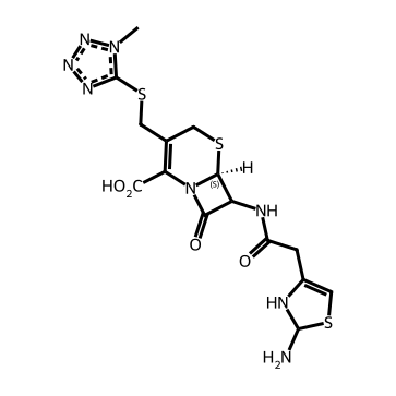 Cn1nnnc1SCC1=C(C(=O)O)N2C(=O)C(NC(=O)CC3=CSC(N)N3)[C@@H]2SC1